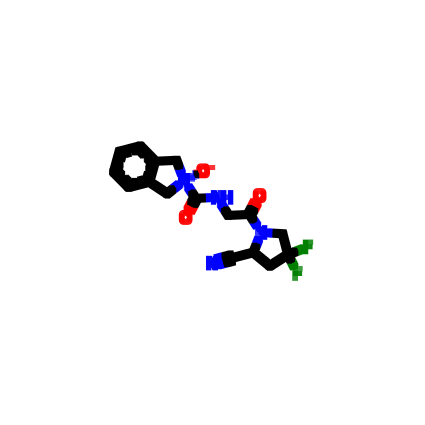 N#CC1CC(F)(F)CN1C(=O)CNC(=O)[N+]1([O-])Cc2ccccc2C1